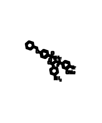 COc1cc(C(F)(F)[C@H](NS(=O)(=O)c2ccc(OCC3CCCCC3)cc2)C(=O)N2CCC(N)CC2)ccc1Br